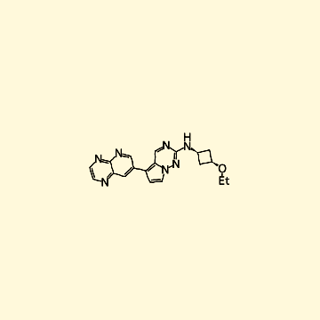 CCO[C@H]1C[C@@H](Nc2ncc3c(-c4cnc5nccnc5c4)ccn3n2)C1